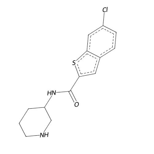 O=C(NC1CCCNC1)c1cc2ccc(Cl)cc2s1